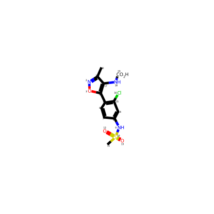 Cc1noc(-c2ccc(NS(C)(=O)=O)cc2Cl)c1NC(=O)O